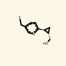 OC[C@H]1C[C@@H]1c1ccc(CF)cn1